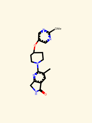 COc1ncc(OC2CCN(c3nc4c(cc3C)C(=O)NC4)CC2)cn1